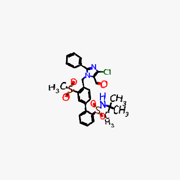 CC(C)(C)NS(=O)(=O)c1ccccc1-c1ccc(Cn2c(-c3ccccc3)nc(Cl)c2C=O)c(S(C)(=O)=O)c1